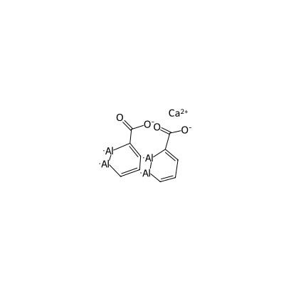 O=C([O-])[C]1=CC=[CH][Al][Al]1.O=C([O-])[C]1=CC=[CH][Al][Al]1.[Ca+2]